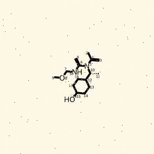 C=C(C)N(C(=C)NCOC)[C@H](C)C1CCC(O)CC1